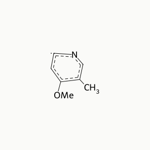 COc1c[c]ncc1C